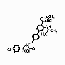 CC(C)Nc1cc(-c2ccc(CCN(C[C@@H](O)c3ccc(Cl)nc3)C(=O)O)cc2)ccc1C(=O)NS(C)(=O)=O